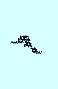 COc1ccc(CSc2cc(F)c3c(c2)P=C2OCc4cnc5nc(OC)ccc5c4N2C3)cc1